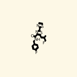 C/C(=C\c1sc(-c2nccs2)nc1C(=O)NCc1ccc(F)cc1)CF